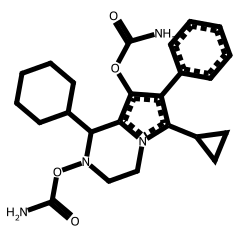 NC(=O)Oc1c(-c2ccccc2)c(C2CC2)n2c1C(C1CCCCC1)N(OC(N)=O)CC2